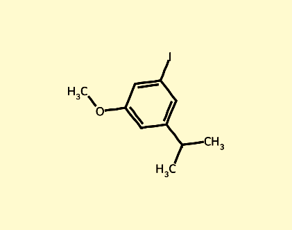 COc1cc(I)cc([C](C)C)c1